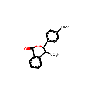 COc1ccc(C2OC(=O)c3ccccc3C2C(=O)O)cc1